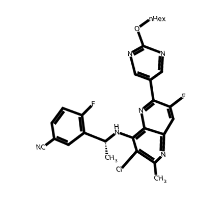 CCCCCCOc1ncc(-c2nc3c(N[C@H](C)c4cc(C#N)ccc4F)c(Cl)c(C)nc3cc2F)cn1